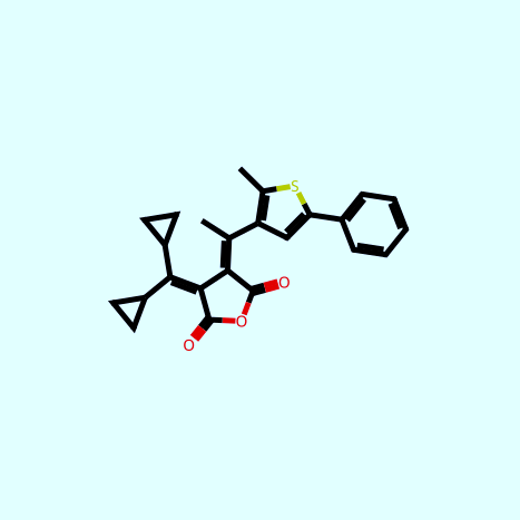 C/C(=C1/C(=O)OC(=O)C1=C(C1CC1)C1CC1)c1cc(-c2ccccc2)sc1C